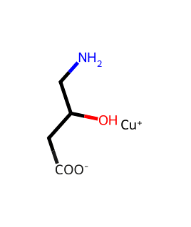 NCC(O)CC(=O)[O-].[Cu+]